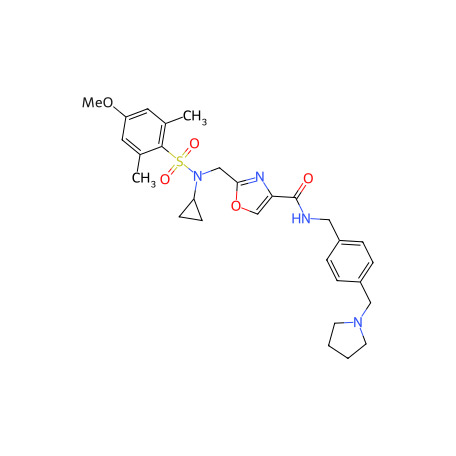 COc1cc(C)c(S(=O)(=O)N(Cc2nc(C(=O)NCc3ccc(CN4CCCC4)cc3)co2)C2CC2)c(C)c1